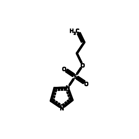 C=CCOS(=O)(=O)n1ccnc1